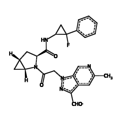 Cc1cc2c([C]=O)nn(CC(=O)N3[C@@H]4C[C@@H]4C[C@H]3C(=O)NC3CC3(F)c3ccccc3)c2cn1